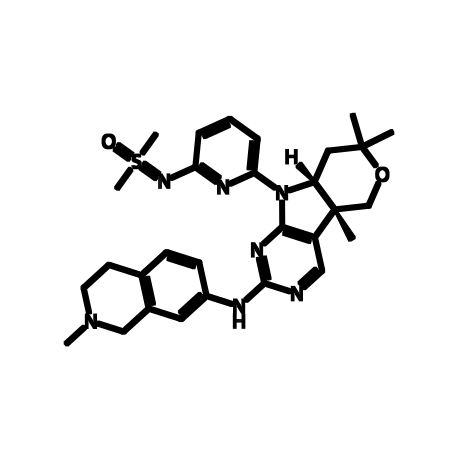 CN1CCc2ccc(Nc3ncc4c(n3)N(c3cccc(N=S(C)(C)=O)n3)[C@@H]3CC(C)(C)OC[C@]43C)cc2C1